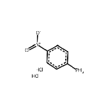 Cl.Cl.O=[N+]([O-])c1ccc(P)cc1